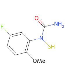 COc1ccc(F)cc1N(S)C(N)=O